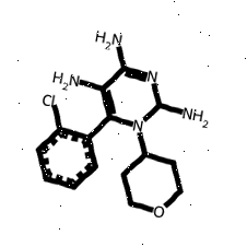 NC1=NC(N)N(C2CCOCC2)C(c2ccccc2Cl)=C1N